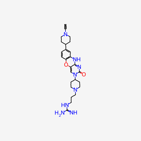 C#CN1CCC(c2ccc3c(c2)Nc2nc(=O)n(C4CCN(CCCNC(=N)N)CC4)cc2O3)CC1